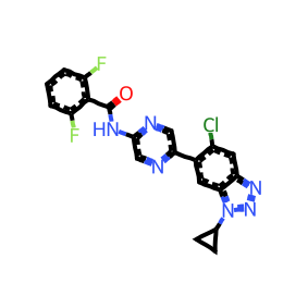 O=C(Nc1cnc(-c2cc3c(cc2Cl)nnn3C2CC2)cn1)c1c(F)cccc1F